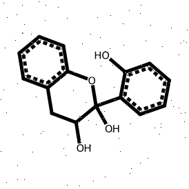 Oc1ccccc1C1(O)Oc2ccccc2CC1O